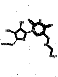 COC[C@H]1O[C@@H](n2cc(CNCC(=O)O)c(=O)[nH]c2=O)[C@H](O)[C@@H]1O